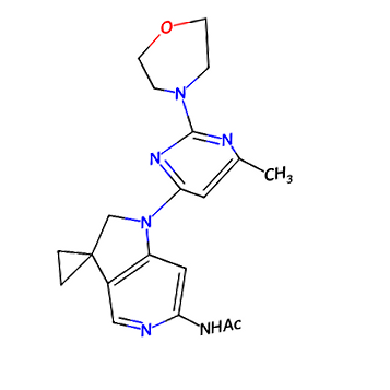 CC(=O)Nc1cc2c(cn1)C1(CC1)CN2c1cc(C)nc(N2CCOCC2)n1